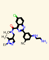 CCn1ncc(CN(C)C(=O)c2nc(-c3cc(C#N)cc(NCCN)c3)nc3ccc(Cl)cc23)c1C